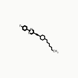 CCCCCCCC1CCC(C#Cc2cnc(-c3ccc(F)cc3)nc2)CC1